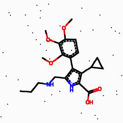 CCCNCc1[nH]c(C(=O)O)c(C2CC2)c1-c1ccc(OC)c(OC)c1OC